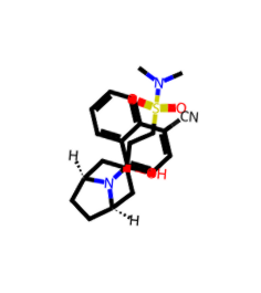 CN(C)S(=O)(=O)CC[C@]1(O)C[C@H]2CC[C@@H](C1)N2c1ccc(C#N)c2ccccc12